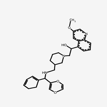 COc1cnc2cccc(C(O)CN3CCCC(CNC(C4=CC=CCC4)C4=COC=CO4)C3)c2c1